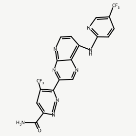 NC(=O)c1cc(C(F)(F)F)c(-c2cnc3c(Nc4ccc(C(F)(F)F)cn4)ccnc3n2)nn1